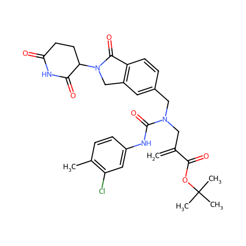 C=C(CN(Cc1ccc2c(c1)CN(C1CCC(=O)NC1=O)C2=O)C(=O)Nc1ccc(C)c(Cl)c1)C(=O)OC(C)(C)C